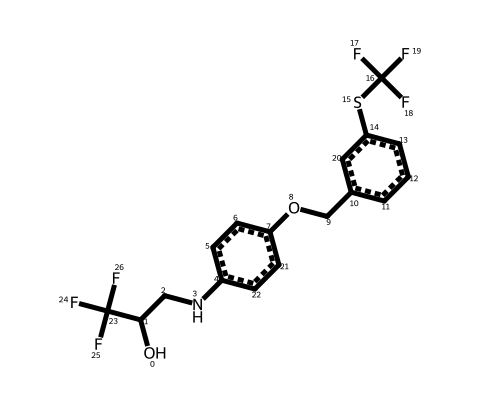 OC(CNc1ccc(OCc2cccc(SC(F)(F)F)c2)cc1)C(F)(F)F